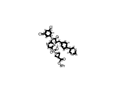 CC(C)OC(=O)C1CN(S(=O)(=O)c2cnc3n2[C@](C)(Cc2ccc(-c4cncnc4)cc2)C(=O)N3c2cc(Cl)cc(Cl)c2)C1